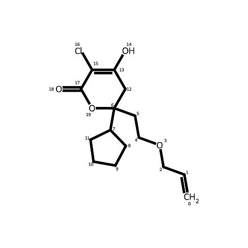 C=CCOCCC1(C2CCCC2)CC(O)=C(Cl)C(=O)O1